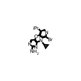 CC(C)c1cnc(Br)cc1Oc1cnc(N)nc1NC1CC1